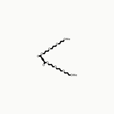 COCCCOCCCOCCCOC(=O)C#CC(=O)OCCCOCCCOCCCOC